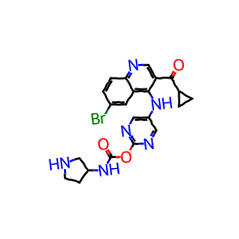 O=C(NC1CCNC1)Oc1ncc(Nc2c(C(=O)C3CC3)cnc3ccc(Br)cc23)cn1